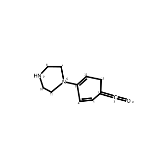 O=C=C1C=CC(N2CCNCC2)=CC1